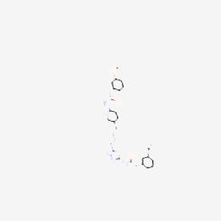 N#Cc1cccc(CC(=O)Nc2nnc(CCCCc3ccc(NC(=O)Cc4cccc(OC(F)(F)F)c4)nc3)s2)c1